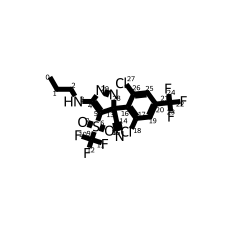 CCCNC1=C(S(=O)(=O)C(F)(F)F)C(C#N)(c2c(Cl)cc(C(F)(F)F)cc2Cl)N=N1